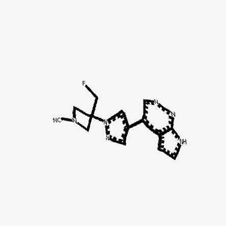 N#CN1CC(CF)(n2cc(-c3cnnc4[nH]ccc34)cn2)C1